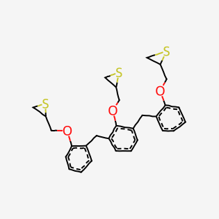 c1ccc(OCC2CS2)c(Cc2cccc(Cc3ccccc3OCC3CS3)c2OCC2CS2)c1